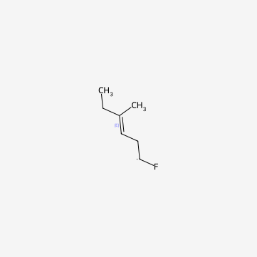 CC/C(C)=C/C[CH]F